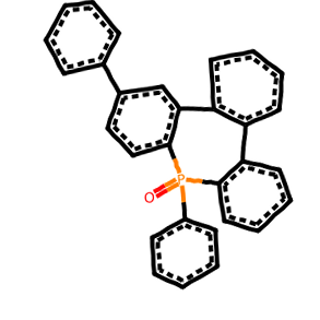 O=P1(c2ccccc2)c2ccccc2-c2ccccc2-c2cc(-c3ccccc3)ccc21